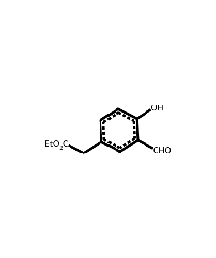 CCOC(=O)Cc1ccc(O)c(C=O)c1